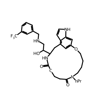 CCCN1CCCCOc2cc(c3cc[nH]c3c2)CC(C(O)CNCc2cccc(C(F)(F)F)c2)NC(=O)CCCC1=O